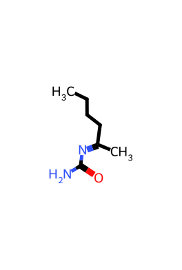 CCCCC(C)=NC(N)=O